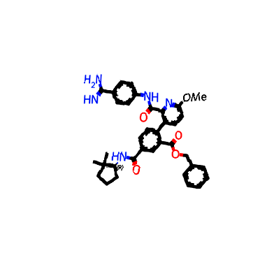 COc1ccc(-c2ccc(C(=O)N[C@@H]3CCCC3(C)C)cc2C(=O)OCc2ccccc2)c(C(=O)Nc2ccc(C(=N)N)cc2)n1